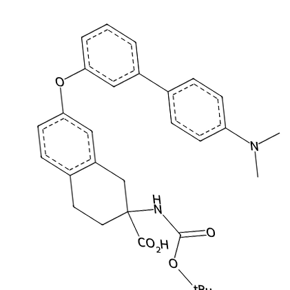 CN(C)c1ccc(-c2cccc(Oc3ccc4c(c3)CC(NC(=O)OC(C)(C)C)(C(=O)O)CC4)c2)cc1